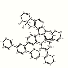 CC1CC=CC2c3ccc4c5c(n(-c6ncc(-c7cc(C8=CCCC=C8)ccc7C7=CC=CCC7)cc6C6N=C(C7=CC=CCC7)NC(C7C=CCCC7)N6)c4c3O[C@H]12)=CCCC=5